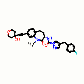 CN1C(=O)[C@@H](NC(=O)n2cc(Cc3ccc(F)cc3)cn2)CCc2ccc(C#CC3(O)CCOCC3)cc21